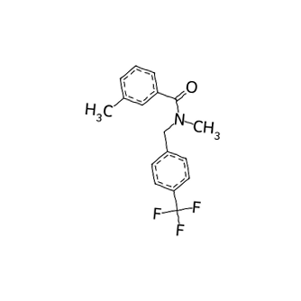 Cc1cccc(C(=O)N(C)Cc2ccc(C(F)(F)F)cc2)c1